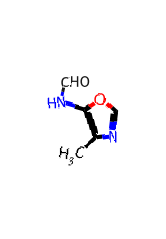 Cc1ncoc1NC=O